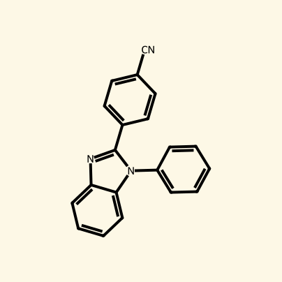 N#Cc1ccc(-c2nc3ccccc3n2-c2ccccc2)cc1